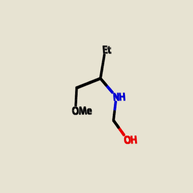 CCC(COC)NCO